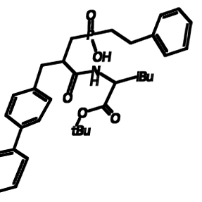 CCC(C)C(NC(=O)C(Cc1ccc(-c2ccccc2)cc1)CP(=O)(O)CCc1ccccc1)C(=O)OC(C)(C)C